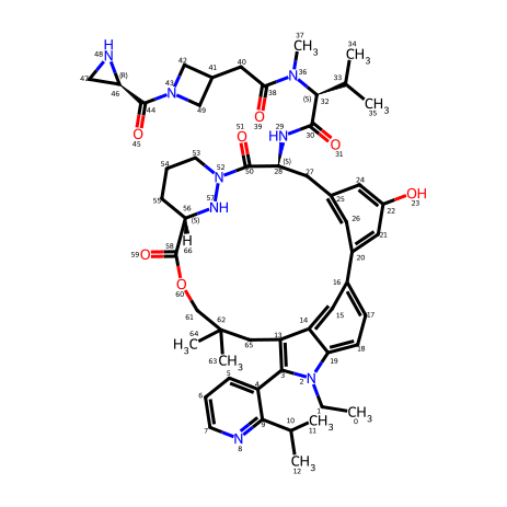 CCn1c(-c2cccnc2C(C)C)c2c3cc(ccc31)-c1cc(O)cc(c1)C[C@H](NC(=O)[C@H](C(C)C)N(C)C(=O)CC1CN(C(=O)[C@H]3CN3)C1)C(=O)N1CCC[C@H](N1)C(=O)OCC(C)(C)C2